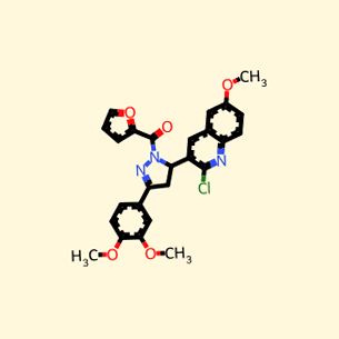 COc1ccc2nc(Cl)c(C3CC(c4ccc(OC)c(OC)c4)=NN3C(=O)c3ccco3)cc2c1